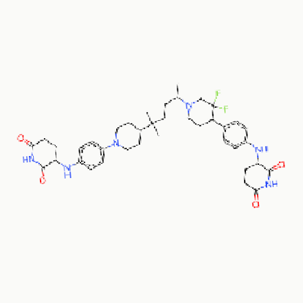 CC(CCC(C)(C)C1CCN(c2ccc(NC3CCC(=O)NC3=O)cc2)CC1)N1CCC(c2ccc(NC3CCC(=O)NC3=O)cc2)C(F)(F)C1